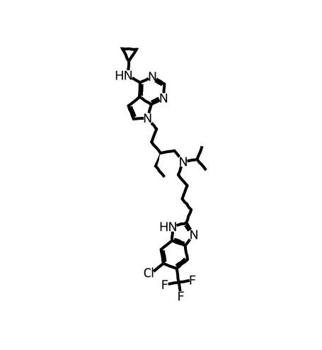 CC[C@@H](CCn1ccc2c(NC3CC3)ncnc21)CN(CCCCc1nc2cc(C(F)(F)F)c(Cl)cc2[nH]1)C(C)C